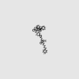 COC(=O)[C@H](Cc1ccc(OCCCNC(=O)CCCCCc2ccccc2)cc1)Nc1ccccc1C(=O)c1ccccc1